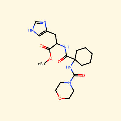 CCCCOC(=O)C(Cc1c[nH]cn1)NC(=O)C1(NC(=O)N2CCOCC2)CCCCC1